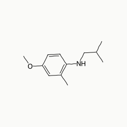 COc1ccc(NCC(C)C)c(C)c1